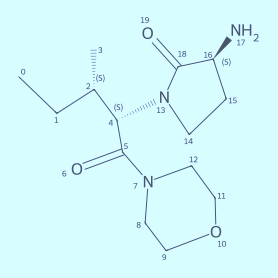 CC[C@H](C)[C@@H](C(=O)N1CCOCC1)N1CC[C@H](N)C1=O